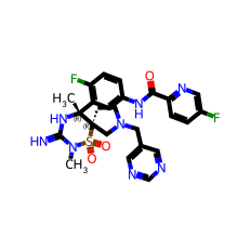 CN1C(=N)N[C@](C)(c2cc(NC(=O)c3ccc(F)cn3)ccc2F)[C@]2(CCN(Cc3cncnc3)C2)S1(=O)=O